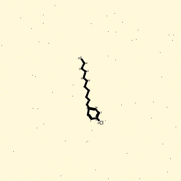 Clc1ccc(CCCCCCCCCCI)cc1